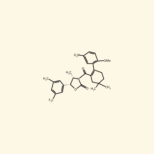 COc1ccc([N+](=O)[O-])cc1C1=C(C(=O)N2C(=O)O[C@H](c3cc(C)cc(C(F)(F)F)c3)[C@@H]2C)CC(C)(C)CC1